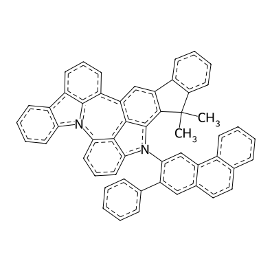 CC1(C)c2ccccc2-c2cc3c4cccc5c6ccccc6n(c6cccc7c6c3c(c21)n7-c1cc2c(ccc3ccccc32)cc1-c1ccccc1)c45